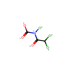 [O]C(=O)N(Cl)C(=O)C(Cl)Cl